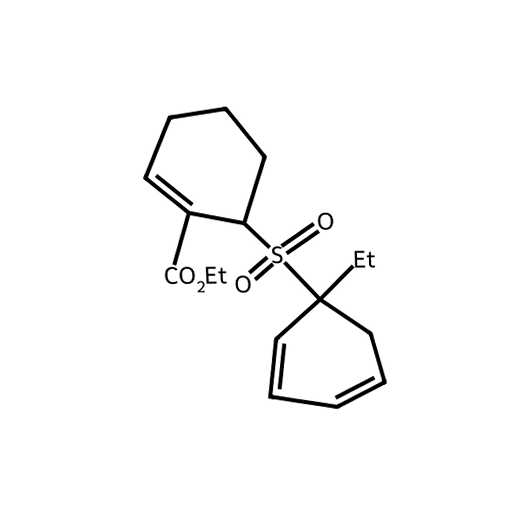 CCOC(=O)C1=CCCCC1S(=O)(=O)C1(CC)C=CC=CC1